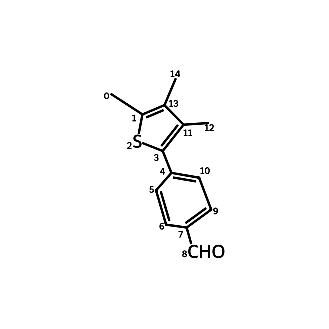 Cc1sc(-c2ccc(C=O)cc2)c(C)c1C